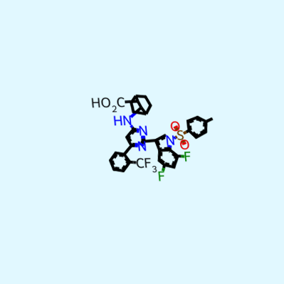 Cc1ccc(S(=O)(=O)n2cc(-c3nc(NC4C5CCC(CC5)C4C(=O)O)cc(-c4ccccc4C(F)(F)F)n3)c3cc(F)cc(F)c32)cc1